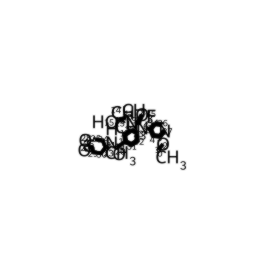 CCOc1cc(-n2c(=O)n(C(C)C(C)(C)O)c3cc(C(=O)NC4(C)CCS(=O)(=O)CC4)ccc32)c(F)cn1